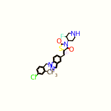 O=C1S/C(=C\c2ccc3c(cnn3Cc3ccc(Cl)cc3C(F)(F)F)c2)C(=O)N1C1CCNCC1F